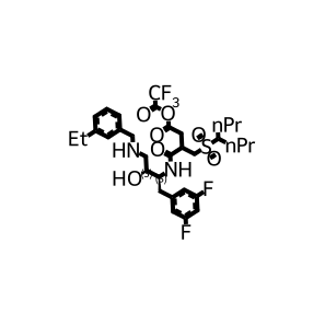 CCCC(CCC)S(=O)(=O)CC(CC(=O)OC(=O)C(F)(F)F)C(=O)N[C@@H](Cc1cc(F)cc(F)c1)[C@@H](O)CNCc1cccc(CC)c1